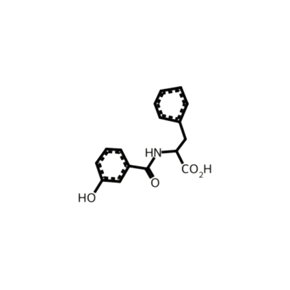 O=C(NC(Cc1ccccc1)C(=O)O)c1cccc(O)c1